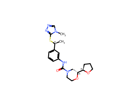 C[C@H](Sc1nncn1C)c1cccc(NC(=O)N2CCO[C@@H]([C@H]3CCCO3)C2)c1